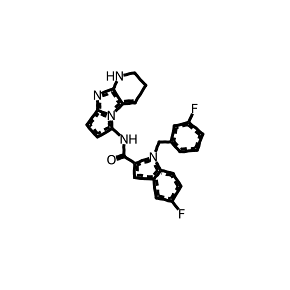 O=C(Nc1ccc2nc3c(n12)=CCCN3)c1cc2cc(F)ccc2n1Cc1cccc(F)c1